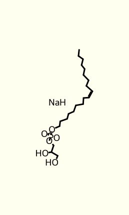 CCCCCCCC/C=C\CCCCCCCCOS(=O)(=O)OCC(O)CO.[NaH]